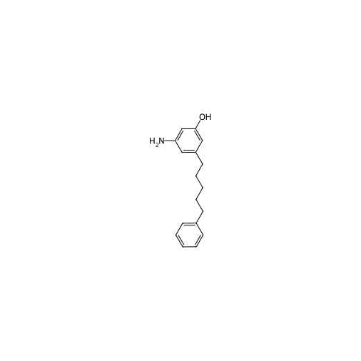 Nc1cc(O)cc(CCCCCc2ccccc2)c1